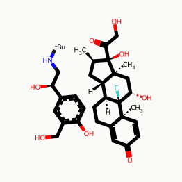 CC(C)(C)NC[C@H](O)c1ccc(O)c(CO)c1.C[C@@H]1C[C@H]2[C@@H]3CCC4=CC(=O)C=C[C@]4(C)[C@@]3(F)[C@@H](O)C[C@]2(C)[C@@]1(O)C(=O)CO